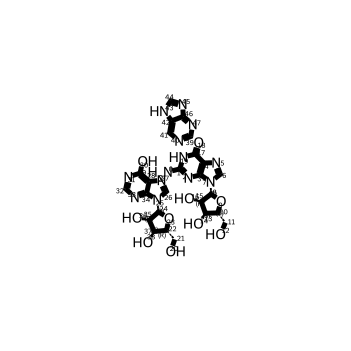 Nc1nc2c(ncn2[C@@H]2O[C@H](CO)[C@@H](O)[C@H]2O)c(=O)[nH]1.OC[C@H]1O[C@@H](n2cnc3c(O)ncnc32)[C@H](O)[C@@H]1O.c1ncc2[nH]cnc2n1